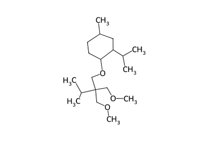 COCC(COC)(COC1CCC(C)CC1C(C)C)C(C)C